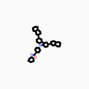 c1ccc2cc(-c3ccc4c(c3)c3cc(-c5ccc6ccccc6c5)ccc3n4-c3ccc(-c4nc5ccccc5o4)cc3)ccc2c1